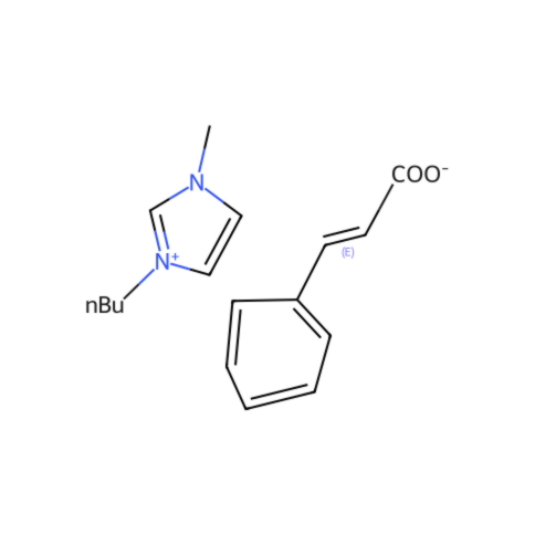 CCCC[n+]1ccn(C)c1.O=C([O-])/C=C/c1ccccc1